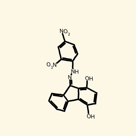 O=[N+]([O-])c1ccc(NN=C2c3ccccc3-c3c(O)ccc(O)c32)c([N+](=O)[O-])c1